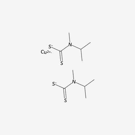 CC(C)N(C)C(=S)[S-].CC(C)N(C)C(=S)[S-].[Cu+2]